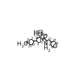 CN1CCC(C2CCN(C(=O)[C@@H](N)CC3CCOCC3)CC2)CC1.Cl.Cl